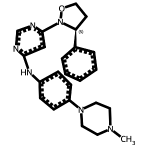 CN1CCN(c2ccc(Nc3cc(N4OCC[C@H]4c4ccccc4)ncn3)cc2)CC1